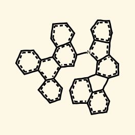 c1cc2c3c(cccc3c1)-c1c-2ccc2c3ccccc3n(-c3cc4c5ccccc5c5ccccc5c4c4ccccc34)c12